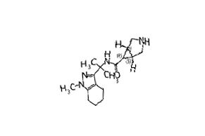 Cn1nc(C(C)(C)NC(=O)[C@H]2[C@@H]3CNC[C@@H]32)c2c1CCCC2